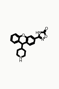 O=c1[nH]c(-c2ccc3c(c2)Oc2ccccc2C3C2CCNCC2)no1